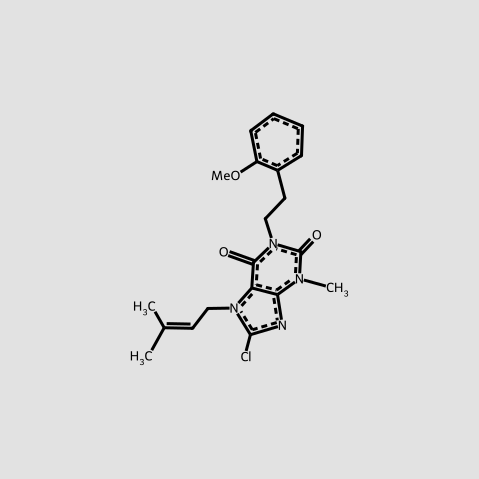 COc1ccccc1CCn1c(=O)c2c(nc(Cl)n2CC=C(C)C)n(C)c1=O